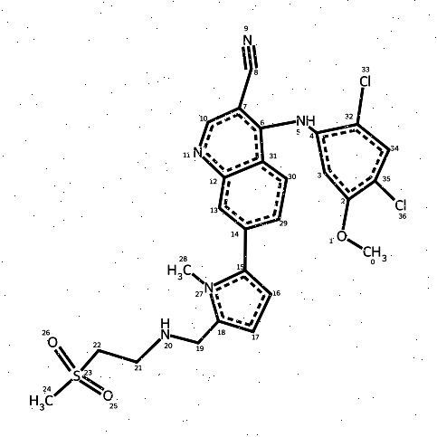 COc1cc(Nc2c(C#N)cnc3cc(-c4ccc(CNCCS(C)(=O)=O)n4C)ccc23)c(Cl)cc1Cl